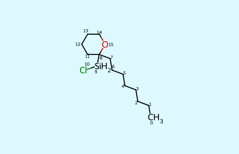 CCCCCCCCC1([SiH2]Cl)CCCCO1